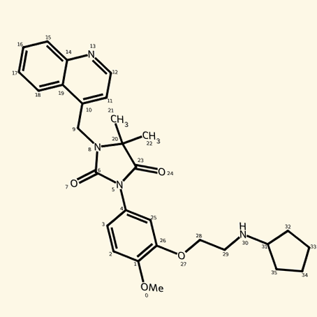 COc1ccc(N2C(=O)N(Cc3ccnc4ccccc34)C(C)(C)C2=O)cc1OCCNC1CCCC1